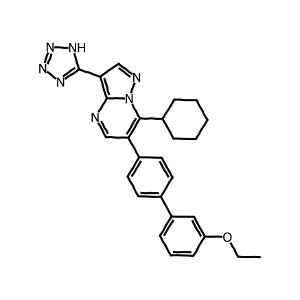 CCOc1cccc(-c2ccc(-c3cnc4c(-c5nnn[nH]5)cnn4c3C3CCCCC3)cc2)c1